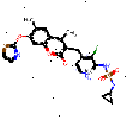 C=C(NS(=O)(=O)NC1CC1)/C(F)=C(\C=C/N)Cc1c(C)c2cc(C)c(Oc3nccs3)cc2oc1=O